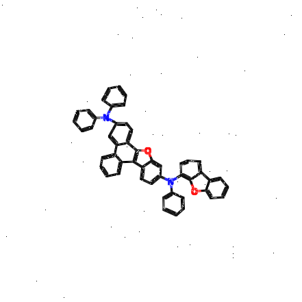 c1ccc(N(c2ccccc2)c2ccc3c(c2)c2ccccc2c2c4ccc(N(c5ccccc5)c5cccc6c5oc5ccccc56)cc4oc32)cc1